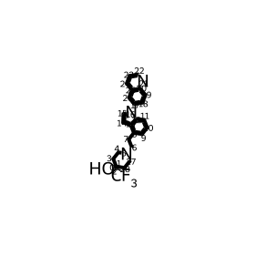 OC1(C(F)(F)F)CCN(CCc2cccc3c2ccn3-c2ccc3ncccc3c2)CC1